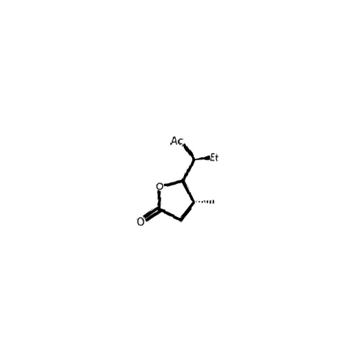 CC[C@H](C(C)=O)C1OC(=O)C[C@H]1C